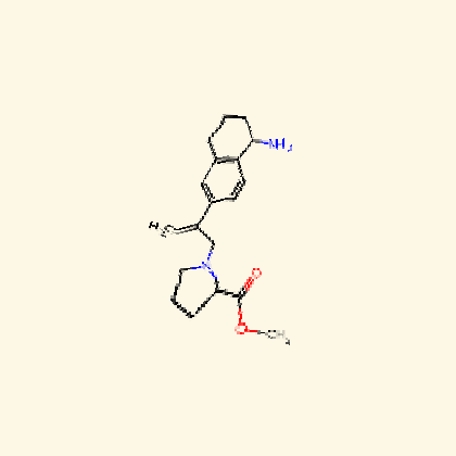 C=C(CN1CCCC1C(=O)OC)c1ccc2c(c1)CCCC2N